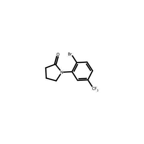 O=C1CCCN1c1cc(C(F)(F)F)ccc1Br